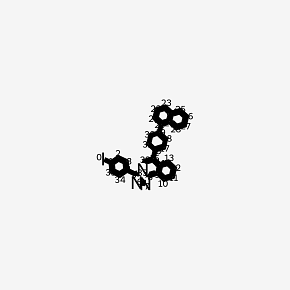 Ic1ccc(-c2nnc3c4ccccc4c(C4=CC=C(c5cccc6ccccc56)CC4)cn23)cc1